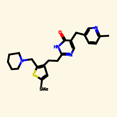 CSc1cc(CCc2ncc(Cc3ccc(C)nc3)c(=O)[nH]2)c(CN2CCCCC2)s1